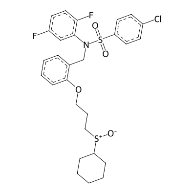 O=S(=O)(c1ccc(Cl)cc1)N(Cc1ccccc1OCCC[S+]([O-])C1CCCCC1)c1cc(F)ccc1F